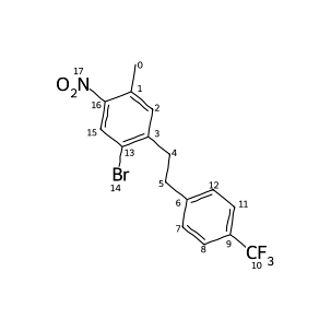 Cc1cc(CCc2ccc(C(F)(F)F)cc2)c(Br)cc1[N+](=O)[O-]